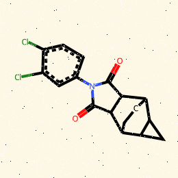 O=C1C2C3CCC(C4CC43)C2C(=O)N1c1ccc(Cl)c(Cl)c1